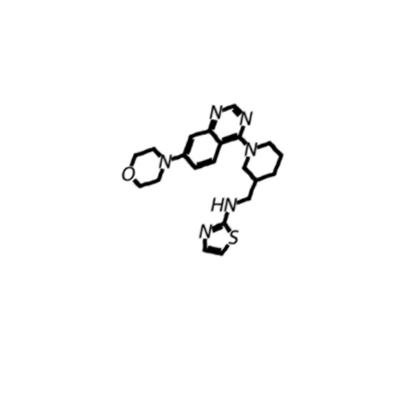 c1csc(NCC2CCCN(c3ncnc4cc(N5CCOCC5)ccc34)C2)n1